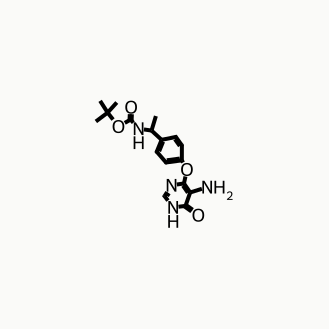 CC(NC(=O)OC(C)(C)C)c1ccc(Oc2nc[nH]c(=O)c2N)cc1